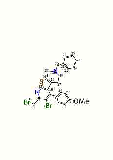 COc1ccc(-c2c(Br)c(CBr)nc3sc4c(c23)CCN(Cc2ccccc2)C4)cc1